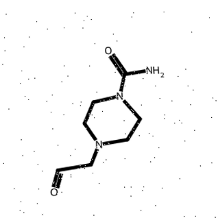 NC(=O)N1CCN(CC=O)CC1